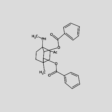 CPC12CCC(C)(CC1C(C)=O)C(OC(=O)c1ccccc1)C2OC(=O)c1ccccc1